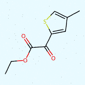 CCOC(=O)C(=O)c1cc(C)cs1